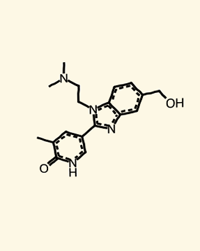 Cc1cc(-c2nc3cc(CO)ccc3n2CCN(C)C)c[nH]c1=O